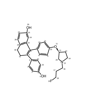 Oc1ccc(C2=C(c3ccc(O[C@H]4CCN(CCCF)C4)cc3)c3cc(O)ccc3CC2)cc1